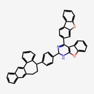 c1ccc2c(c1)-c1cc3ccccc3cc1CCC2c1ccc(C2N=C(c3ccc4c(c3)sc3ccccc34)c3c(oc4ccccc34)N2)cc1